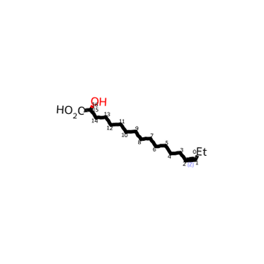 CC/C=C\CCCCCCCCCCCCC(O)C(=O)O